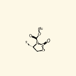 CC(C)(C)OC(=O)N1[C@@H](CF)COS1=O